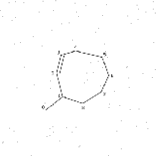 C[C]1/C=C\CCCCC1